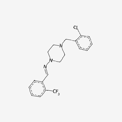 FC(F)(F)c1ccccc1C=NN1CCN(Cc2ccccc2Cl)CC1